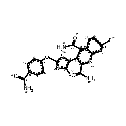 Cc1nc(Oc2ccc(C(N)=O)cc2)sc1-c1c(C(N)=O)nc2cc(F)ccc2c1C(N)=O